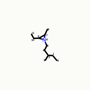 CCC(C)CCN1C(C)C1CC